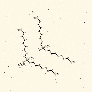 CCCCCCCCCCCCCCCCCC[N+](C)(C)CCCCCCCCCCCCCCCCCC.CCCCCCCCCCCCCCCCCC[N+](C)(C)CCCCCCCCCCCCCCCCCC.[Br-].[Cl-]